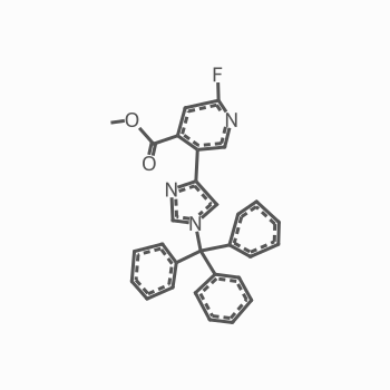 COC(=O)c1cc(F)ncc1-c1cn(C(c2ccccc2)(c2ccccc2)c2ccccc2)cn1